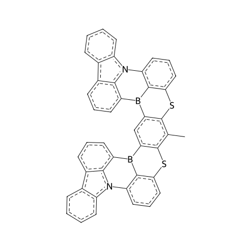 Cc1c2c(cc3c1Sc1cccc4c1B3c1cccc3c5ccccc5n-4c13)B1c3c(cccc3-n3c4ccccc4c4cccc1c43)S2